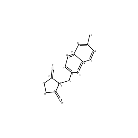 Cc1ccc2nc(CN3C(=O)CCC3=O)ccc2c1